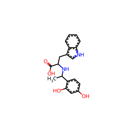 CC(NC(Cc1c[nH]c2ccccc12)C(=O)O)c1ccc(O)cc1O